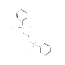 C[N+](C)(CCC[N+](C)(C)c1ccccc1)c1ccccc1